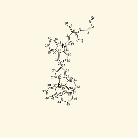 C=C\C=C/C=C(C=C)/C(=C/C)/C=C(\C)n1c2ccccc2c2cc(-c3ccc4c(c3)c3ccccc3n4-c3ccccc3-c3ccccc3)ccc21